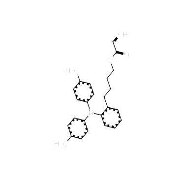 C=CC(=O)OCCCCc1ccccc1N(c1ccc(C)cc1)c1ccc(C)cc1